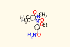 CCOc1cc(C(N)=O)ccc1-n1c2c(n(C)c1=O)C(=O)CC(C)(C)C2